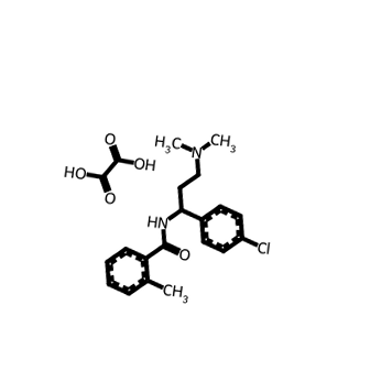 Cc1ccccc1C(=O)NC(CCN(C)C)c1ccc(Cl)cc1.O=C(O)C(=O)O